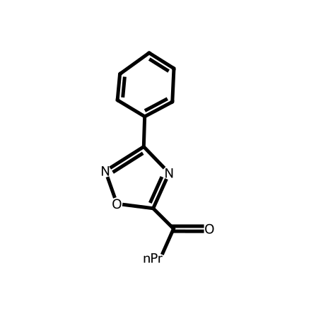 CCCC(=O)c1nc(-c2ccccc2)no1